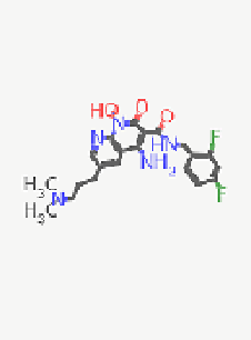 CN(C)CCCc1cnc2c(c1)c(N)c(C(=O)NCc1ccc(F)cc1F)c(=O)n2O